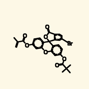 C=C(C)C(=O)Oc1ccc2c(c1)Oc1cc(OC(=O)C(C)(C)C)ccc1C21OC(=O)c2ccc(Br)cc21